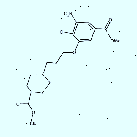 COC(=O)c1cc(OCCCN2CCN(C(=O)OC(C)(C)C)CC2)c(Cl)c([N+](=O)[O-])c1